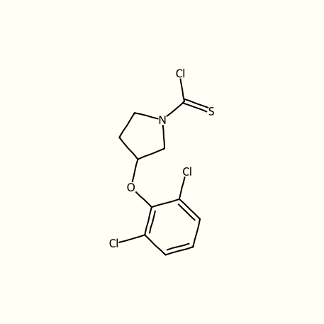 S=C(Cl)N1CCC(Oc2c(Cl)cccc2Cl)C1